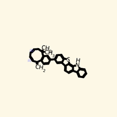 C=C1/C=C\C=C/CC(C)(C)c2cc(-c3ccc4sc5c(ccc6c7ccccc7[nH]c65)c4c3)ccc21